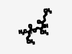 C=CCCC(=O)N[C@@H](C)COC(=O)[C@H](C)CC=C